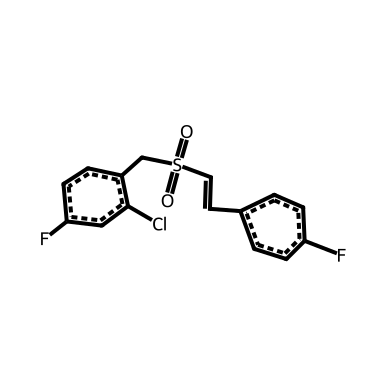 O=S(=O)(C=Cc1ccc(F)cc1)Cc1ccc(F)cc1Cl